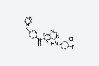 Fc1ccc(Nc2ncnc3nc(Nc4ccc(Cn5ccnc5)cc4)sc23)cc1Cl